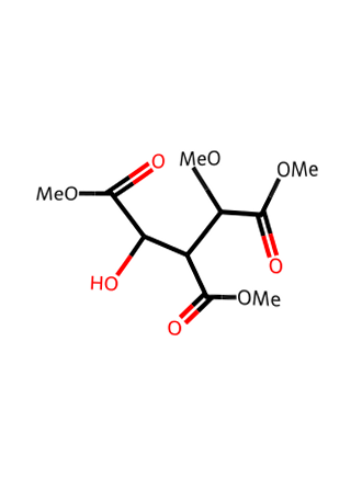 COC(=O)C(O)C(C(=O)OC)C(OC)C(=O)OC